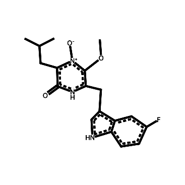 COc1c(Cc2c[nH]c3ccc(F)cc23)[nH]c(=O)c(CC(C)C)[n+]1[O-]